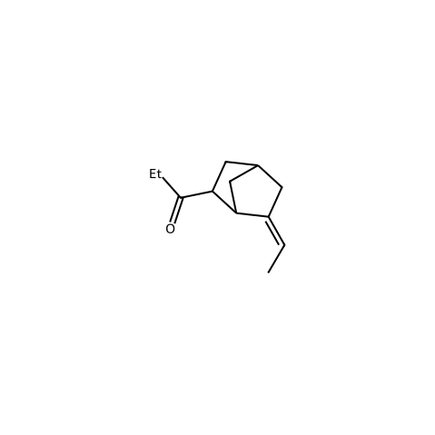 CC=C1CC2CC(C(=O)CC)C1C2